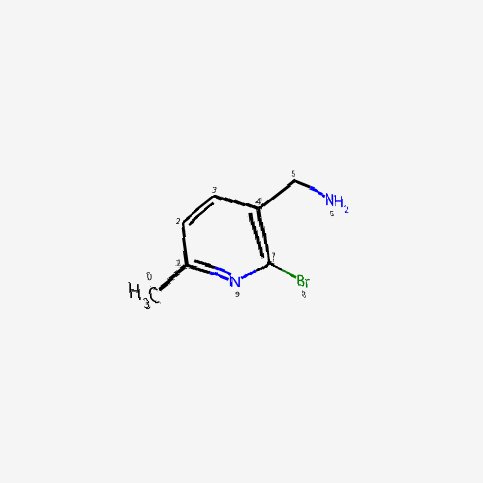 Cc1ccc(CN)c(Br)n1